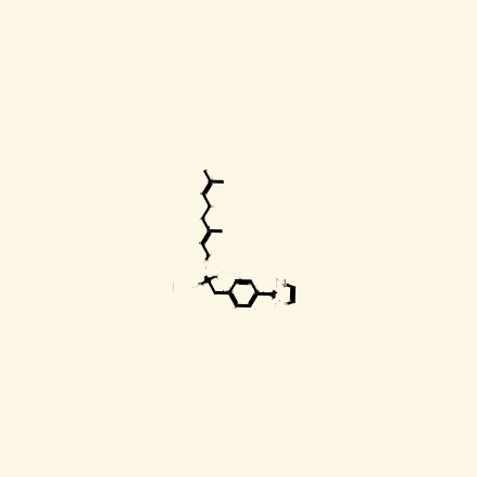 CC(C)=CCC/C(C)=C/COC(P)(P)Cc1ccc(-c2ncco2)cc1